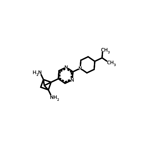 CC(C)C1CCN(c2ncc(C3C4(N)CC3(N)C4)cn2)CC1